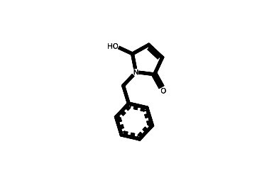 O=C1C=CC(O)N1Cc1ccccc1